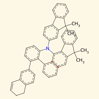 CC1(C)c2ccccc2-c2ccc(N(c3cccc(-c4ccc5c(c4)C=CCC5)c3-c3ccccc3)c3cccc4c3-c3ccccc3C4(C)C)cc21